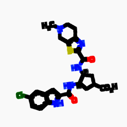 CN1CCc2nc(C(=O)N[C@@H]3CC(C(=O)O)C[C@H]3NC(=O)c3cc4cc(Cl)ccc4[nH]3)sc2C1